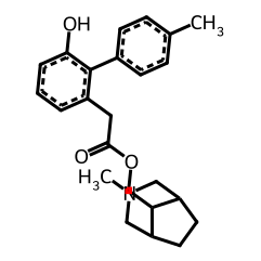 Cc1ccc(-c2c(O)cccc2CC(=O)OCC2C3CCC2CN(C)C3)cc1